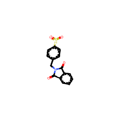 O=C1c2ccccc2C(=O)N1Cc1ccc([SH](=O)=O)cc1